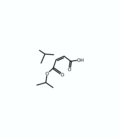 CC(C)C.CC(C)OC(=O)/C=C\C(=O)O